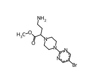 COC(=O)C(CCN)N1CCN(c2ncc(Br)cn2)CC1